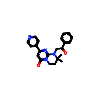 CC1(C)CCn2c(nc(-c3ccncc3)cc2=O)N1CC(=O)c1ccccc1